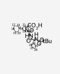 CC(C)(C)OC(=O)N[C@H](C(=O)NCC(=O)N1C[C@H](C2CCCCC2)C[C@H]1C(=O)O)C1CCCC1